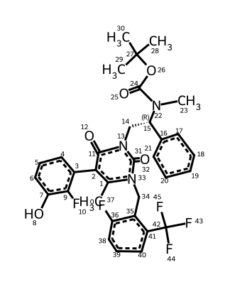 Cc1c(-c2cccc(O)c2F)c(=O)n(C[C@@H](c2ccccc2)N(C)C(=O)OC(C)(C)C)c(=O)n1Cc1c(F)cccc1C(F)(F)F